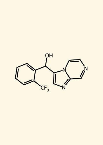 OC(c1ccccc1C(F)(F)F)c1cnc2cnccn12